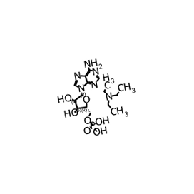 CCN(CC)CC.Nc1ncnc2c1ncn2[C@@H]1O[C@H](COP(=O)(O)O)[C@@H](O)[C@H]1O